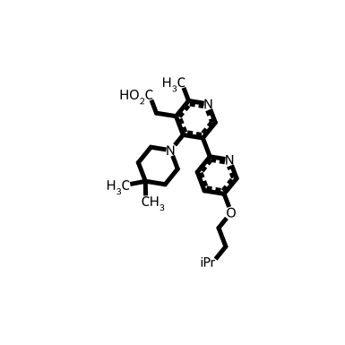 Cc1ncc(-c2ccc(OCCC(C)C)cn2)c(N2CCC(C)(C)CC2)c1CC(=O)O